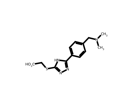 CN(C)Cc1ccc(-c2nnc(SCC(=O)O)[nH]2)cc1